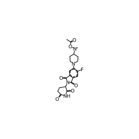 CC(=O)ON(C)C1CCN(c2cc3c(cc2F)C(=O)N(C2CCC(=O)NC2=O)C3=O)CC1